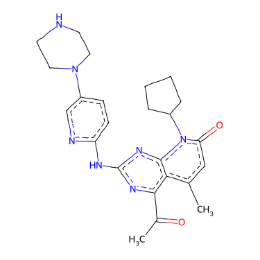 CC(=O)c1nc(Nc2ccc(N3CCNCC3)cn2)nc2c1c(C)cc(=O)n2C1CCCC1